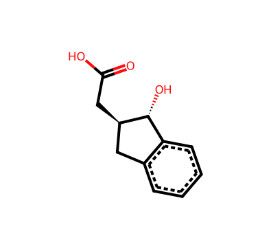 O=C(O)C[C@@H]1Cc2ccccc2[C@H]1O